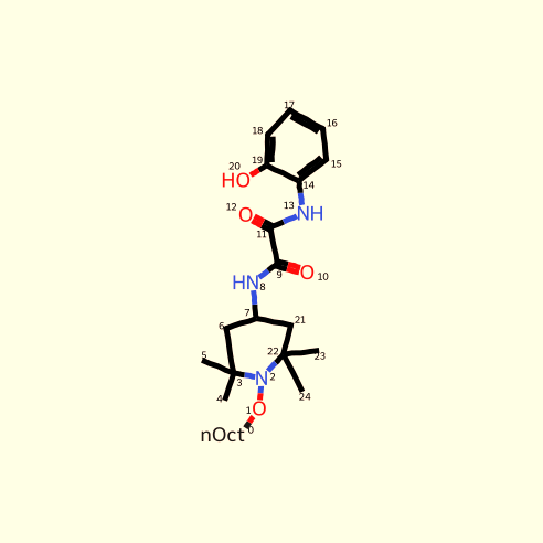 CCCCCCCCON1C(C)(C)CC(NC(=O)C(=O)Nc2ccccc2O)CC1(C)C